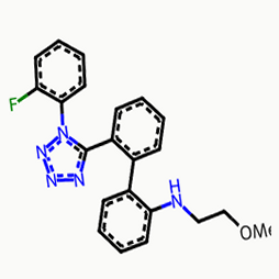 COCCNc1ccccc1-c1ccccc1-c1nnnn1-c1ccccc1F